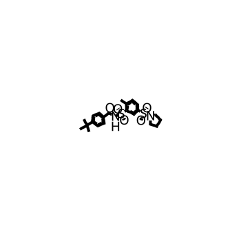 Cc1ccc(S(=O)(=O)N2CCCC2)cc1S(=O)(=O)NC(=O)c1ccc(C(C)(C)C)cc1